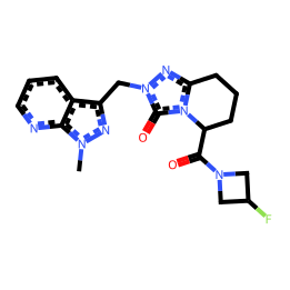 Cn1nc(Cn2nc3n(c2=O)C(C(=O)N2CC(F)C2)CCC3)c2cccnc21